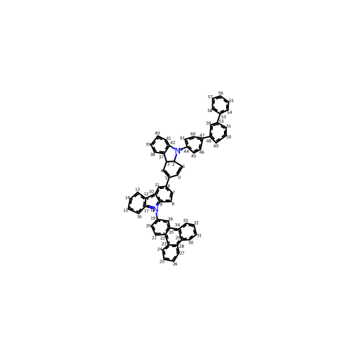 C1=CC2C(C=C1c1ccc3c(c1)c1ccccc1n3-c1ccc3c4ccccc4c4ccccc4c3c1)c1ccccc1N2c1ccc(-c2cccc(-c3ccccc3)c2)cc1